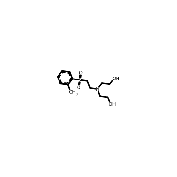 Cc1ccccc1S(=O)(=O)CCN(CCO)CCO